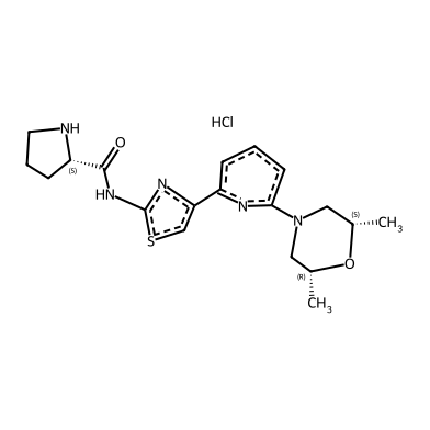 C[C@@H]1CN(c2cccc(-c3csc(NC(=O)[C@@H]4CCCN4)n3)n2)C[C@H](C)O1.Cl